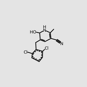 CC1=C(C#N)C=C(Cc2c(Cl)cccc2Cl)C(O)N1